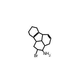 NC1C(Br)CC2C3=C(CCCC3)C3C=CCC1C32